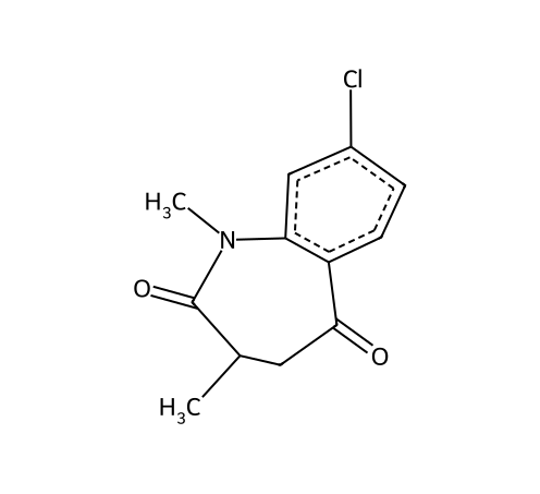 CC1CC(=O)c2ccc(Cl)cc2N(C)C1=O